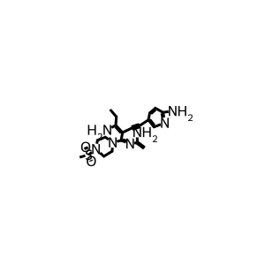 C=C(N)/N=C(\C(C#Cc1ccc(N)nc1)=C(/N)CC)N1CCN(S(C)(=O)=O)CC1